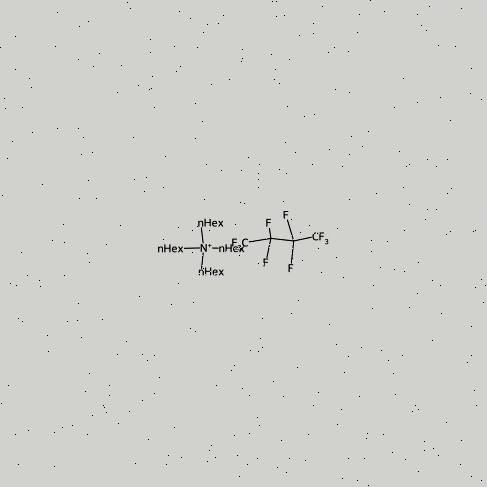 CCCCCC[N+](CCCCCC)(CCCCCC)CCCCCC.FC(F)(F)C(F)(F)C(F)(F)C(F)(F)F